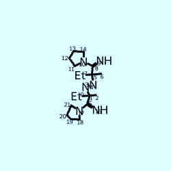 CCC(C)(/N=N/C(C)(CC)C(=N)N1CCCC1)C(=N)N1CCCC1